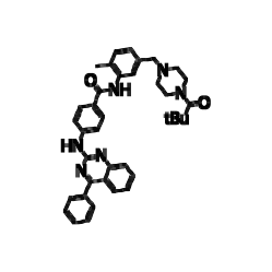 Cc1ccc(CN2CCN(C(=O)C(C)(C)C)CC2)cc1NC(=O)c1ccc(Nc2nc(-c3ccccc3)c3ccccc3n2)cc1